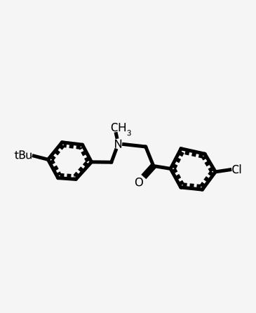 CN(CC(=O)c1ccc(Cl)cc1)Cc1ccc(C(C)(C)C)cc1